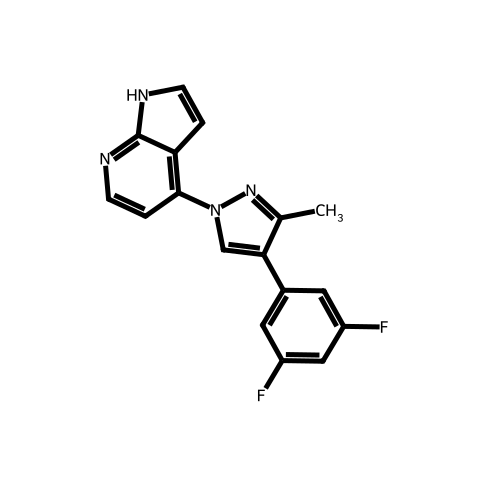 Cc1nn(-c2ccnc3[nH]ccc23)cc1-c1cc(F)cc(F)c1